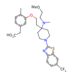 COCCN(C)C1(CCOc2cc(CC(=O)O)ccc2C)CCN(c2nc3ccc(C(F)(F)F)cc3s2)CC1